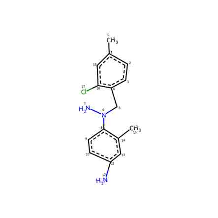 Cc1ccc(CN(N)c2ccc(N)cc2C)c(Cl)c1